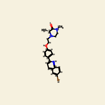 C[C@@H]1C(=O)N(C)CCN1CCOc1ccc(-c2ccc3cc(Br)ccc3n2)cc1